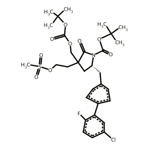 CC(C)(C)OC(=O)OCC1(CCOS(C)(=O)=O)C[C@@H](Cc2ccc(-c3cc(Cl)ccc3F)cc2)N(C(=O)OC(C)(C)C)C1=O